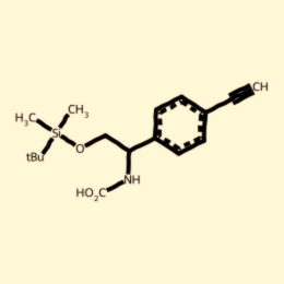 C#Cc1ccc(C(CO[Si](C)(C)C(C)(C)C)NC(=O)O)cc1